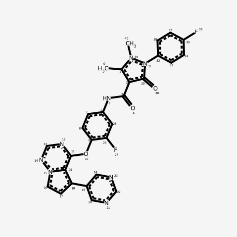 Cc1c(C(=O)Nc2ccc(Oc3ncnn4ccc(-c5cncnc5)c34)c(F)c2)c(=O)n(-c2ccc(F)cc2)n1C